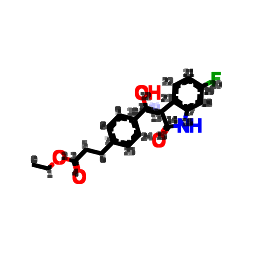 CCOC(=O)CCc1ccc(/C(O)=C2\C(=O)Nc3cc(F)ccc32)cc1